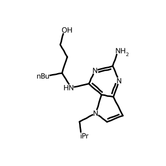 CCCCC(CCO)Nc1nc(N)nc2ccn(CC(C)C)c12